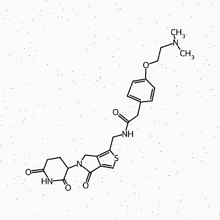 CN(C)CCOc1ccc(CC(=O)NCc2scc3c2CN(C2CCC(=O)NC2=O)C3=O)cc1